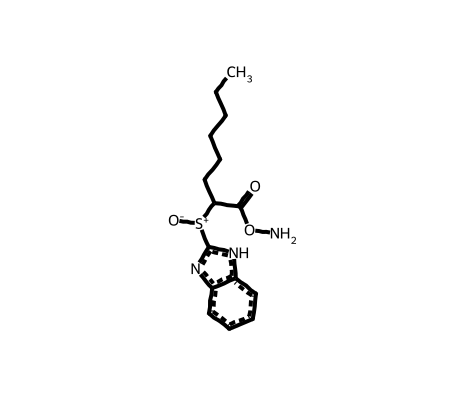 CCCCCCC(C(=O)ON)[S+]([O-])c1nc2ccccc2[nH]1